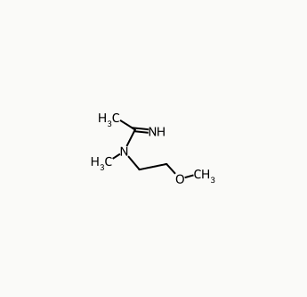 COCCN(C)C(C)=N